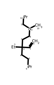 C=CC(CC)(CCC(C)C)CCN(C)CC(C)C